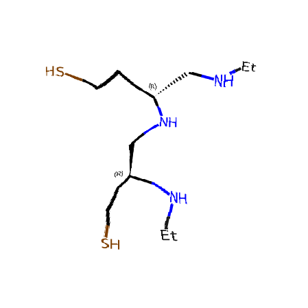 CCNC[C@@H](CCS)NC[C@H](CS)NCC